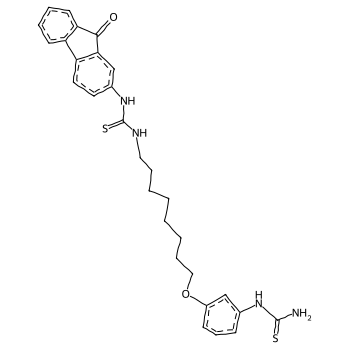 NC(=S)Nc1cccc(OCCCCCCCCNC(=S)Nc2ccc3c(c2)C(=O)c2ccccc2-3)c1